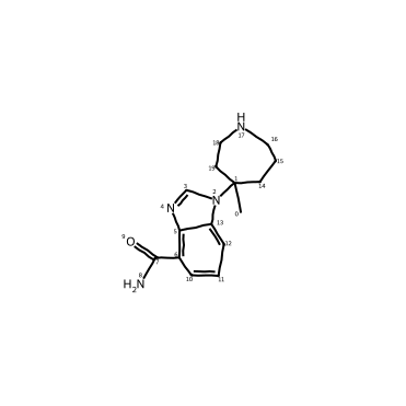 CC1(n2cnc3c(C(N)=O)cccc32)CCCNCC1